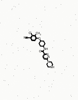 Cc1c(OC2CCC(NC(=O)c3ccc(N4CCNCC4)nn3)CC2)ccc(C#N)c1Cl